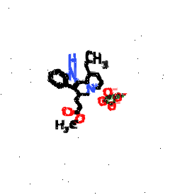 CC[C@H]1CCC[N+]2=C1c1[nH]c3ccccc3c1C(CCC(=O)OC)C2.[O-][Cl+3]([O-])([O-])[O-]